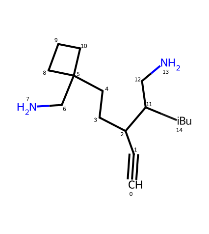 C#CC(CCC1(CN)CCC1)C(CN)C(C)CC